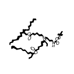 CCCCCCCCC(CCCCCCCC)COC(=O)CCCCCN(CCCNC(=O)OOC(C)(C)C)C(CC)CCCCC(=O)OC(CC)CCCCCCCC